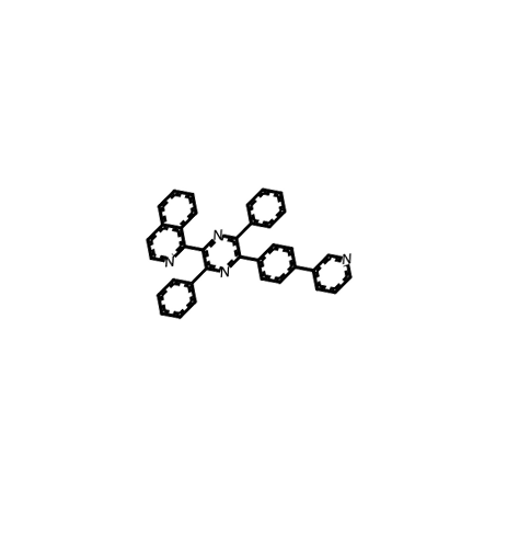 c1ccc(-c2nc(-c3nccc4ccccc34)c(-c3ccccc3)nc2-c2ccc(-c3cccnc3)cc2)cc1